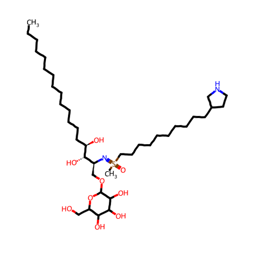 CCCCCCCCCCCCCC[C@@H](O)[C@@H](O)[C@H](COC1OC(CO)C(O)C(O)C1O)N=S(C)(=O)CCCCCCCCCCC1CCNC1